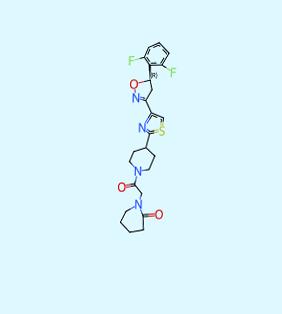 O=C(CN1CCCCC1=O)N1CCC(c2nc(C3=NO[C@@H](c4c(F)cccc4F)C3)cs2)CC1